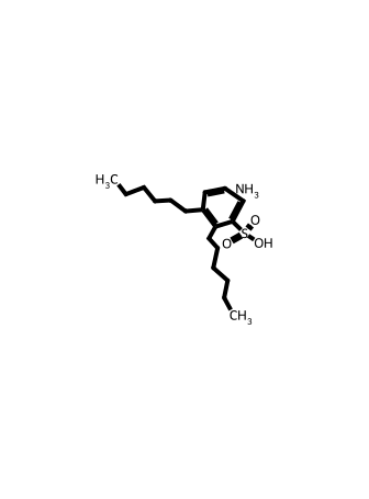 CCCCCCc1cccc(S(=O)(=O)O)c1CCCCCC.N